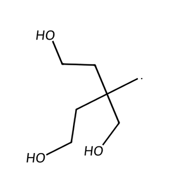 [CH2]C(CO)(CCO)CCO